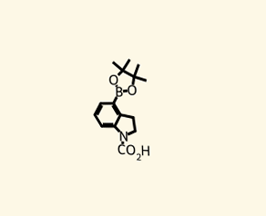 CC1(C)OB(c2cccc3c2CCN3C(=O)O)OC1(C)C